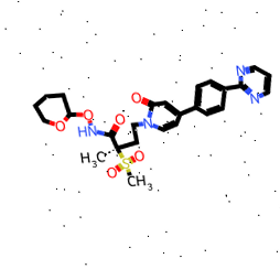 C[C@@](CCn1ccc(-c2ccc(-c3ncccn3)cc2)cc1=O)(C(=O)NOC1CCCCO1)S(C)(=O)=O